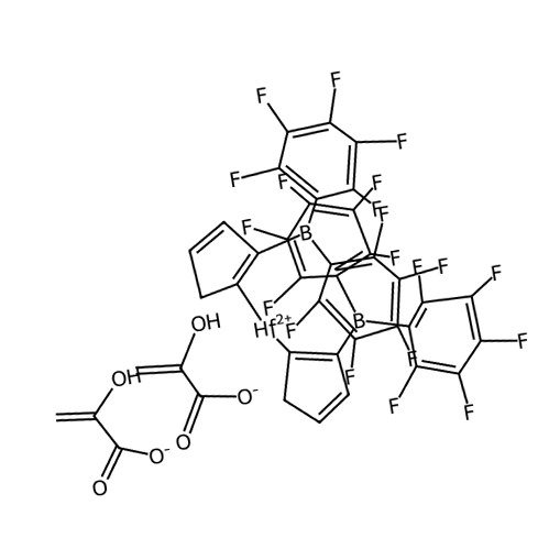 C=C(O)C(=O)[O-].C=C(O)C(=O)[O-].Fc1c(F)c(F)c(B(C2=[C]([Hf+2][C]3=C(B(c4c(F)c(F)c(F)c(F)c4F)c4c(F)c(F)c(F)c(F)c4F)C=CC3)CC=C2)c2c(F)c(F)c(F)c(F)c2F)c(F)c1F